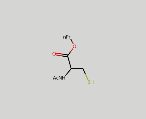 CCCOC(=O)C(CS)NC(C)=O